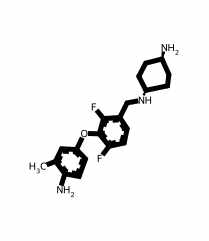 Cc1cc(Oc2c(F)ccc(CN[C@H]3CC[C@H](N)CC3)c2F)ccc1N